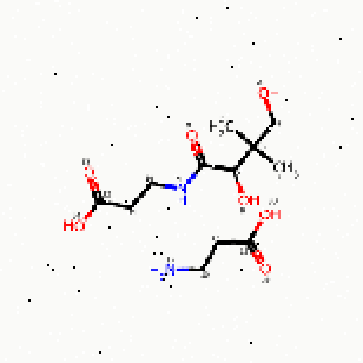 CC(C)(CO)[C@@H](O)C(=O)NCCC(=O)O.NCCC(=O)O